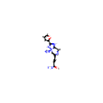 NC(=O)C#CC1=C[N+]2(N)N=C(c3ccco3)N=C2C=N1